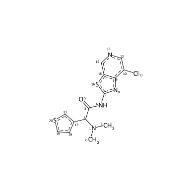 CN(C)C(C(=O)Nc1nc2c(Cl)cncc2s1)c1ccsc1